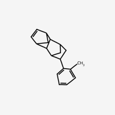 Cc1ccccc1C1CC2CC1C1C3C=CC(C3)C21